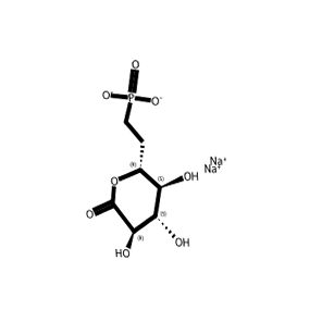 O=C1O[C@H](CCP(=O)([O-])[O-])[C@@H](O)[C@H](O)[C@H]1O.[Na+].[Na+]